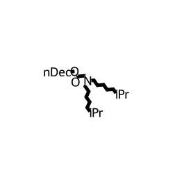 CCCCCCCCCCOC(=O)CN(CCCCCC(C)C)CCCCCC(C)C